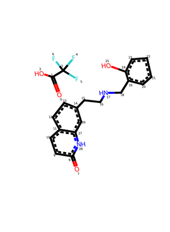 O=C(O)C(F)(F)F.O=c1ccc2ccc(CCNCc3ccccc3O)cc2[nH]1